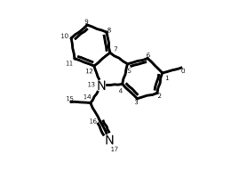 Cc1ccc2c(c1)c1ccccc1n2C(C)C#N